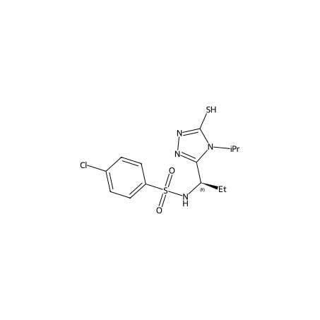 CC[C@@H](NS(=O)(=O)c1ccc(Cl)cc1)c1nnc(S)n1C(C)C